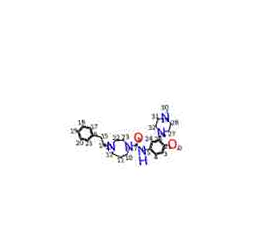 COc1ccc(NC(=O)N2CCCN(CCc3ccccc3)CC2)cc1N1CCN(C)CC1